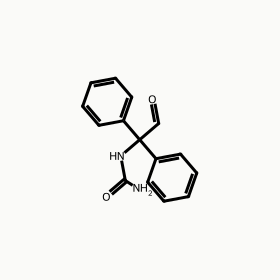 NC(=O)NC(C=O)(c1ccccc1)c1ccccc1